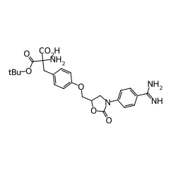 CC(C)(C)OC(=O)C(N)(Cc1ccc(OCC2CN(c3ccc(C(=N)N)cc3)C(=O)O2)cc1)C(=O)O